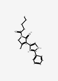 CCCCC(=O)N1CC(C)=C(c2coc(-c3ccccc3)n2)C1=O